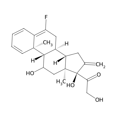 C=C1C[C@H]2[C@@H]3CC(F)=C4C=CC=C[C@]4(C)[C@H]3C(O)C[C@]2(C)[C@@]1(O)C(=O)CO